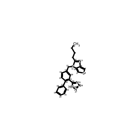 CCCCc1nc2cscc2n1Cc1ccc(-c2ccccc2)c(-c2nnn[nH]2)c1